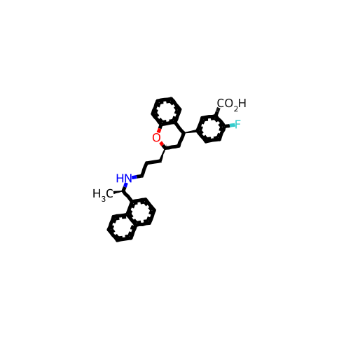 C[C@@H](NCCC[C@@H]1C[C@H](c2ccc(F)c(C(=O)O)c2)c2ccccc2O1)c1cccc2ccccc12